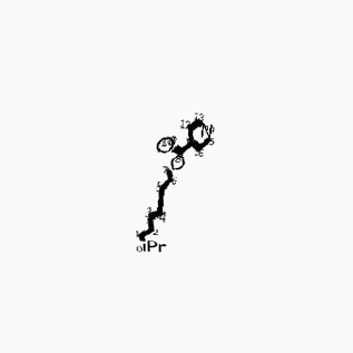 CC(C)CCCCCCCOC(=O)c1ccncc1